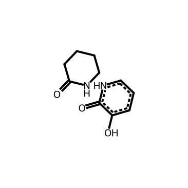 O=C1CCCCN1.O=c1[nH]cccc1O